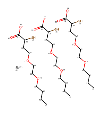 CCCCOCCOCCC(S)C(=O)[O-].CCCCOCCOCCC(S)C(=O)[O-].CCCCOCCOCCC(S)C(=O)[O-].[Sb+3]